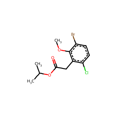 COc1c(Br)ccc(Cl)c1CC(=O)OC(C)C